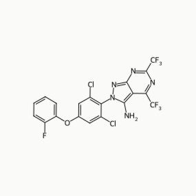 Nc1c2c(C(F)(F)F)nc(C(F)(F)F)nc2nn1-c1c(Cl)cc(Oc2ccccc2F)cc1Cl